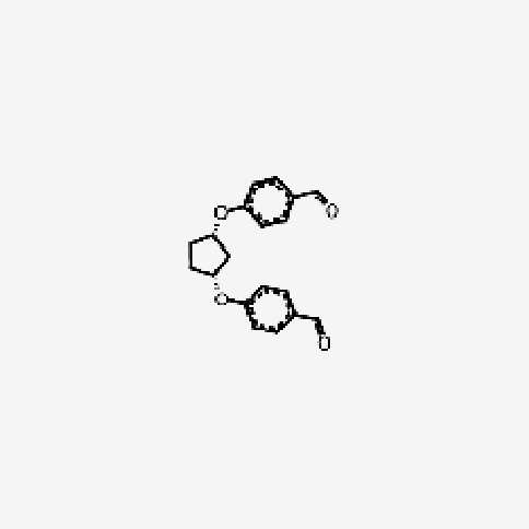 O=Cc1ccc(O[C@@H]2CC[C@H](Oc3ccc(C=O)cc3)C2)cc1